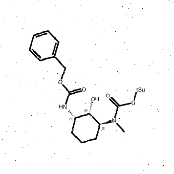 CN(C(=O)OC(C)(C)C)[C@H]1CCC[C@H](NC(=O)OCc2ccccc2)[C@@H]1O